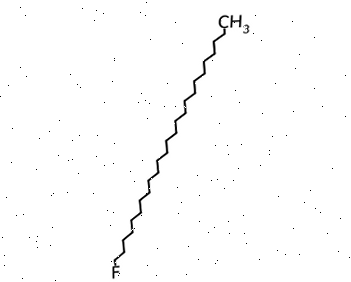 CCCCCCCCCCCCCCCCCCCCCCCCCF